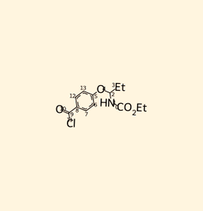 CCOC(=O)NC(CC)Oc1ccc(C(=O)Cl)cc1